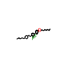 CCCCCCCCOc1ccc(-c2ccc(CCC3CCC(CCCCC)CC3)c(F)c2F)cc1